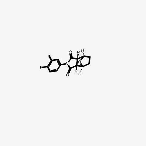 Cc1cc(N2C(=O)[C@@H]3[C@H](C2=O)[C@H]2CC[C@@H]3O2)ccc1F